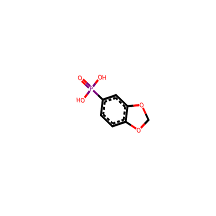 O=P(O)(O)c1ccc2c(c1)OCO2